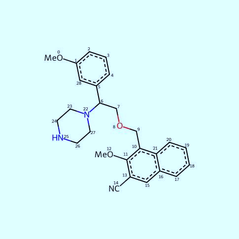 COc1cccc(C(COCc2c(OC)c(C#N)cc3ccccc23)N2CCNCC2)c1